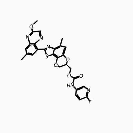 COc1cnc2c(-c3nc4c(C)cc5c(c4s3)OC[C@H](COC(=O)Nc3ccc(F)nc3)O5)cc(C)cc2n1